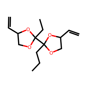 C=CC1COC(CC)(C2(CCC)OCC(C=C)O2)O1